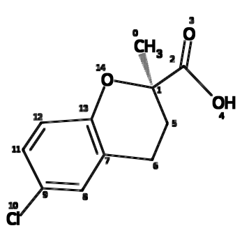 C[C@]1(C(=O)O)CCc2cc(Cl)ccc2O1